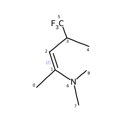 C/C(=C/C(C)C(F)(F)F)N(C)C